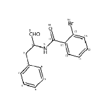 O=CC(Cc1ccccc1)NC(=O)c1ccccc1Br